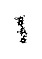 O=c1cc(O)c2ccc(N3C4[C@@H](O)[C@@H]5OC(c6ccccc6)OCC5O[C@@H]43)cc2o1